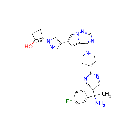 CC(N)(c1ccc(F)cc1)c1cnc(C2=CCN(c3ncnn4cc(-c5cnn([C@H]6CC[C@@H]6O)c5)cc34)CC2)nc1